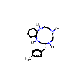 CCN1CCN(CC)C2CCCC[C@H]2N(CC)C[C@@H](Cc2ccc(C)cc2)N(CC)CC1